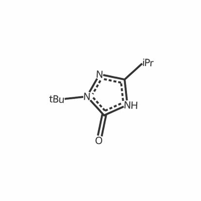 CC(C)c1nn(C(C)(C)C)c(=O)[nH]1